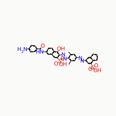 Cc1cc(N=Nc2cc(S(=O)(=O)O)c3ccccc3c2)cc(C)c1N=Nc1c(S(=O)(=O)O)cc2cc(NC(=O)c3ccc(N)cc3)ccc2c1O